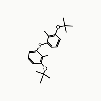 Cc1c(OC(C)(C)C)cccc1Sc1cccc(OC(C)(C)C)c1C